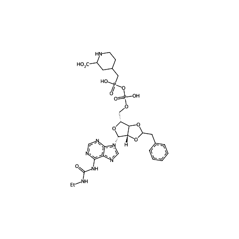 CCNC(=O)Nc1ncnc2c1ncn2[C@@H]1O[C@H](COP(=O)(O)OP(=O)(O)CC2CCNC(C(=O)O)C2)C2OC(Cc3ccccc3)O[C@@H]21